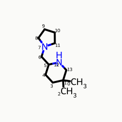 CC1(C)CCC(CN2CCCC2)NC1